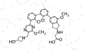 COc1cc(-c2cccc(-c3cccc(-c4cnc(CN5CC(O)C5)c(OC)n4)c3Cl)c2Cl)cc2c1C[C@@H](NCC(=O)O)C2